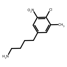 Cc1cc(CCCCN)cc([N+](=O)[O-])c1Cl